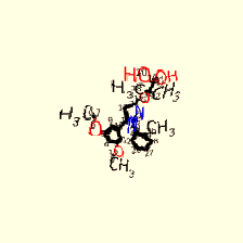 CCOc1cc(OCC)cc(-c2cc(COC(C)(C)C(O)O)nn2-c2ccccc2C)c1